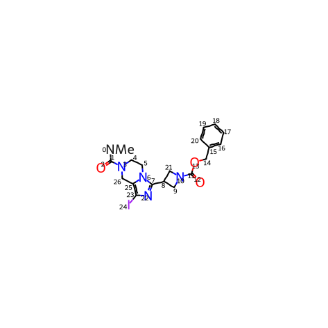 CNC(=O)N1CCn2c(C3CN(C(=O)OCc4ccccc4)C3)nc(I)c2C1